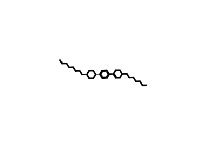 CCCCCCCC[C@H]1CC[C@H](c2ccc(C3=CCC(CCCCCCC)CC3)cc2)CC1